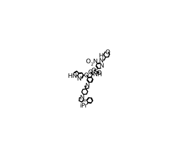 CC(C)c1ccccc1[C@@H]1CCCN1C1CCC2(CC1)CN(c1ccc(C(=O)NS(=O)(=O)c3cnc(NCC4CCOCC4)c([N+](=O)[O-])c3)c(Oc3cnc4[nH]ccc4c3)c1)C2